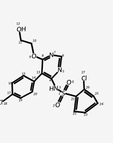 O=S(=O)(Nc1ncnc(OCCO)c1-c1ccc(Cl)cc1)c1ccccc1Cl